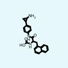 NC1CC1c1ccc(NC(=O)C(Cc2cccc3ccccc23)NC(=O)O)cc1